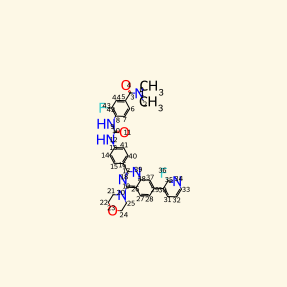 CN(C)C(=O)c1ccc(NC(=O)Nc2ccc(-c3nc(N4CCOCC4)c4ccc(-c5cccnc5F)cc4n3)cc2)c(F)c1